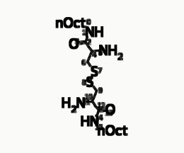 CCCCCCCCNC(=O)C(N)CSSCC(N)C(=O)NCCCCCCCC